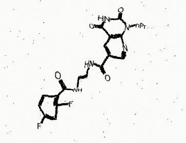 CCCn1c(=O)[nH]c(=O)c2cc(C(=O)NCCNC(=O)c3ccc(F)cc3F)cnc21